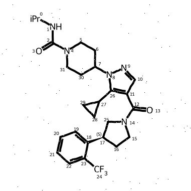 CC(C)NC(=O)N1CCC(n2ncc(C(=O)N3CC[C@@H](c4ccccc4C(F)(F)F)C3)c2C2CC2)CC1